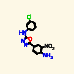 Nc1ccc(-c2nnc(Nc3cccc(Cl)c3)o2)cc1[N+](=O)[O-]